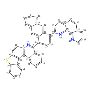 c1ccc2cc3c(-c4nc5ccc6sc7ccccc7c6c5c5ccccc45)ccc(-c4ccc5ccc6cccnc6c5n4)c3cc2c1